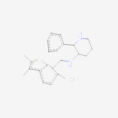 COc1ccc2c(C)c(C)sc2c1CNC1CCCNC1c1ccccc1